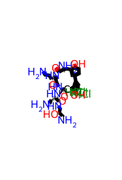 Cl.Cl.Cl.Cl.NCCC[C@@H]1NC(=O)[C@@H](N)Cc2cc(ccc2O)-c2ccc(O)c(c2)C[C@@H](C(=O)N[C@@H](CCN)C(=O)NCC(O)CN)NC1=O